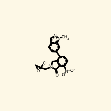 Cn1ncc2ccc(-c3ccc([N+](=O)[O-])c4c3CN(CC3(C)CO3)C4=O)cc21